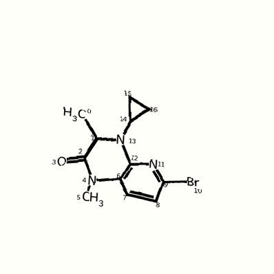 CC1C(=O)N(C)c2ccc(Br)nc2N1C1CC1